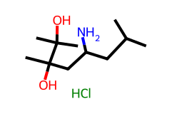 CC(C)CC(N)CC(C)(O)C(C)(C)O.Cl